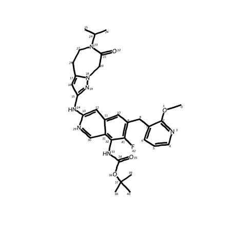 COc1ncccc1Cc1cc2cc(Nc3cc4n(n3)CC(=O)N(C(C)C)CC4)ncc2c(NC(=O)OC(C)(C)C)c1F